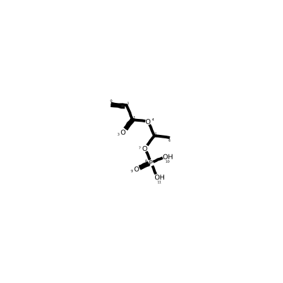 C=CC(=O)OC(C)OP(=O)(O)O